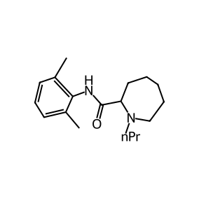 CCCN1CCCCCC1C(=O)Nc1c(C)cccc1C